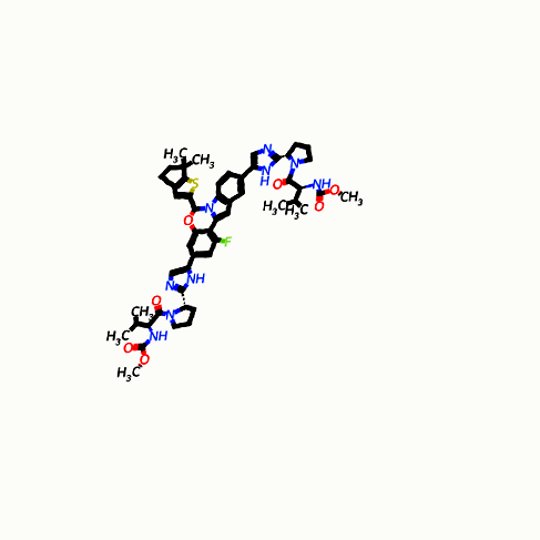 COC(=O)N[C@H](C(=O)N1CCC[C@H]1c1ncc(-c2cc(F)c3c(c2)OC(c2cc4c(s2)C(C)(C)CC4)n2c-3cc3cc(-c4cnc([C@@H]5CCCN5C(=O)[C@@H](NC(=O)OC)C(C)C)[nH]4)ccc32)[nH]1)C(C)C